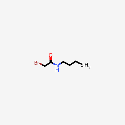 O=C(CBr)NCCC[SiH3]